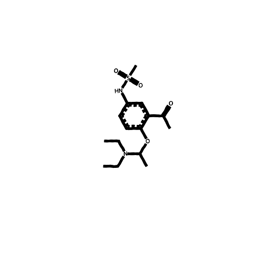 CCN(CC)C(C)Oc1ccc(NS(C)(=O)=O)cc1C(C)=O